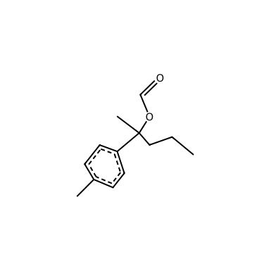 CCCC(C)(OC=O)c1ccc(C)cc1